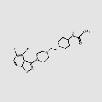 CC(=O)N[C@H]1CC[C@H](CCN2CCN(C3=NOC4C=CC(F)=C(F)C34)CC2)CC1